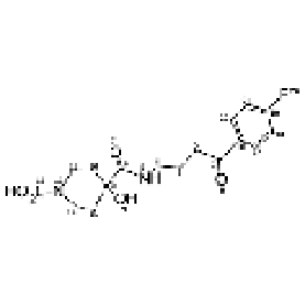 O=C(CCCNC(=O)C1(O)CCN(C(=O)O)CC1)c1ccc(F)cc1